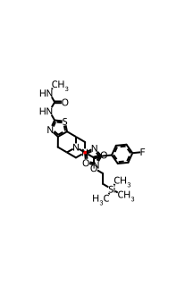 CNC(=O)Nc1nc2c(s1)C1CN(C(=O)OCC[Si](C)(C)C)CC(C2)N1c1nc(-c2ccc(F)cc2)no1